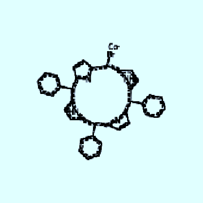 Brc1c2nc(c(-c3ccccc3)c3ccc([nH]3)c(-c3ccccc3)c3nc(c(-c4ccccc4)c4ccc1[nH]4)C=C3)C=C2.[Co]